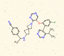 CC(C)c1ncncc1-c1cc(F)ccc1Oc1cncnc1N1CC2(CC(NC(C)c3ccc(C#N)cc3)C2)C1